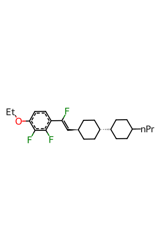 CCCC1CCC([C@H]2CC[C@H](C=C(F)c3ccc(OCC)c(F)c3F)CC2)CC1